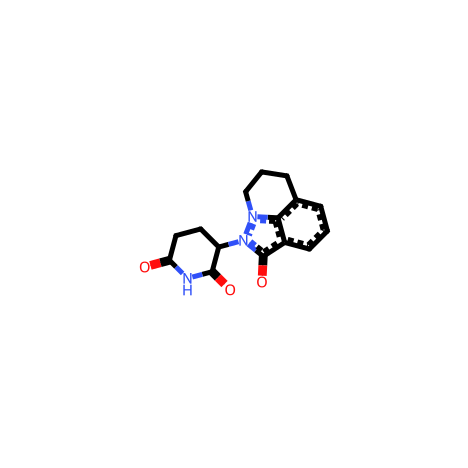 O=C1CCC(n2c(=O)c3cccc4c3n2CCC4)C(=O)N1